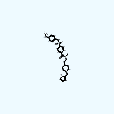 CN(CCC1CCN(Cc2cccs2)CC1)C(=O)c1ccc(S(=O)(=O)Cc2ccc(SC(F)(F)F)cc2)cc1